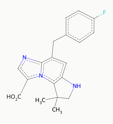 CC1(C)CNc2cc(Cc3ccc(F)cc3)c3ncc(C(=O)O)n3c21